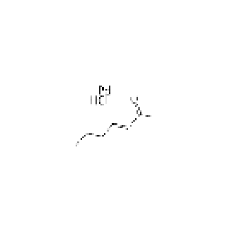 CCC/C=C/C(C)=O.Cl.[Pd]